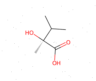 CC(C)[C@](C)(O)C(=O)O